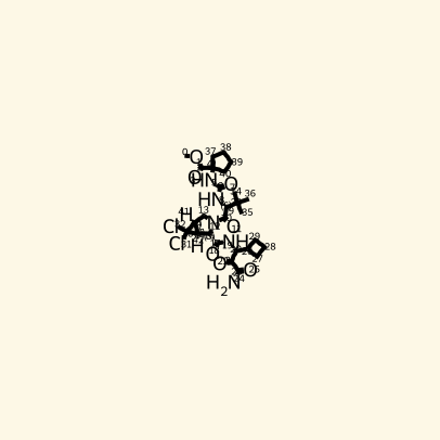 COC(=O)C1(NC(=O)N[C@H](C(=O)N2C[C@H]3[C@@H]([C@H]2C(=O)NC(C(=O)C(N)=O)C2CCC2)C3(Cl)Cl)C(C)(C)C)CCCC1